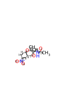 CC(=O)NCC12OC1c1cc([N+](=O)[O-])ccc1OC2(C)C